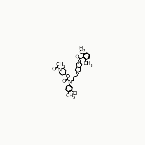 CC(=O)N1CCC(OC(=O)N(CCCN2CC3CN(C(=O)c4c(C)cccc4C)CC3C2)c2ccc(C)c(Cl)c2)CC1